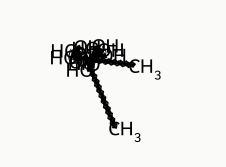 CCCCCCCCCCCCCCCCCCCCCCC(O)C(=O)N[C@H](CO[C@H]1O[C@H](CO)[C@H](O)[C@H](O)[C@H]1O)[C@@H](CCCCCCCCCCCCCCC)O[C@H]1O[C@H](CO)[C@H](O)[C@H](O)[C@H]1O